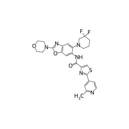 Cc1cc(-c2nc(C(=O)Nc3cc4oc(N5CCOCC5)nc4cc3N3CCCC(F)(F)C3)cs2)ccn1